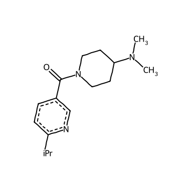 CC(C)c1ccc(C(=O)N2CCC(N(C)C)CC2)cn1